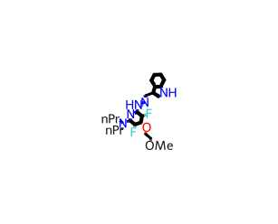 CCCN(CCC)c1nc(N/N=C/c2c[nH]c3ccccc23)c(F)c(OCCOC)c1F